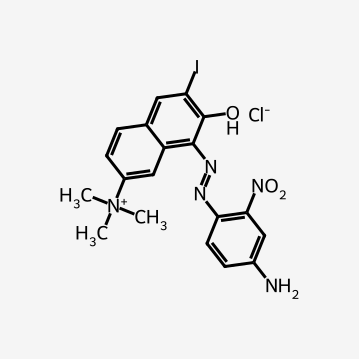 C[N+](C)(C)c1ccc2cc(I)c(O)c(N=Nc3ccc(N)cc3[N+](=O)[O-])c2c1.[Cl-]